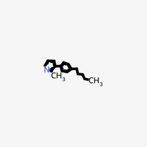 CCCCCc1ccc(-c2cccnc2C)cc1